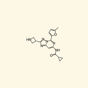 Cc1ccc(-c2nc(NC(=O)C3CC3)cc3nc(C4CNC4)nn23)o1